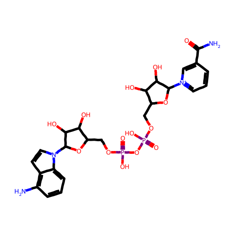 NC(=O)c1ccc[n+](C2OC(COP(=O)(O)OP(=O)(O)OCC3OC(n4ccc5c(N)cccc54)C(O)C3O)C(O)C2O)c1